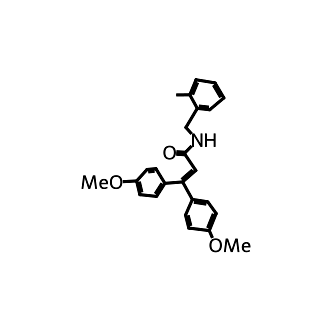 COc1ccc(C(=CC(=O)NCc2ccccc2C)c2ccc(OC)cc2)cc1